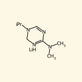 CC(C)N1C=NC(N(C)C)=NC1.[LiH]